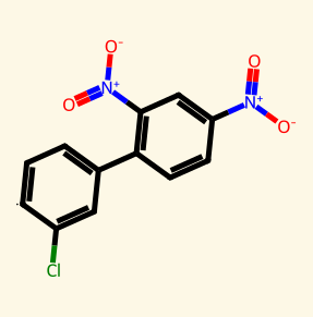 O=[N+]([O-])c1ccc(-c2cc[c]c(Cl)c2)c([N+](=O)[O-])c1